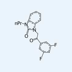 CCCn1c(=O)n(CC(=O)c2cc(F)cc(F)c2)c2ccccc21